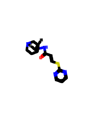 O=C(C=CSc1ncccn1)N[C@H]1CN2CCC1CC2